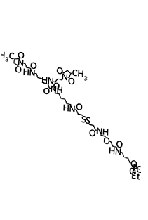 CCOP(O)OCCCCNC(=O)CCOCCNC(=O)CCSSCCC(=O)NCCCCCCNC(=O)[C@@H](CCCCNC(=O)CCN1C(=O)CC(C)C1=O)NC(=O)CCN1C(=O)CC(C)C1=O